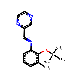 Cc1cccc(/N=C/c2cnccn2)c1O[Si](C)(C)C